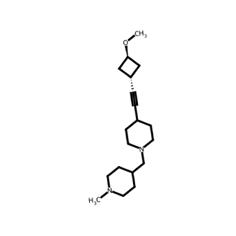 CO[C@H]1C[C@H](C#CC2CCN(CC3CCN(C)CC3)CC2)C1